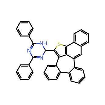 c1ccc(C2=NC(c3sc4c5c(cc6ccccc64)-c4ccccc4-c4ccccc4-c35)NC(c3ccccc3)=N2)cc1